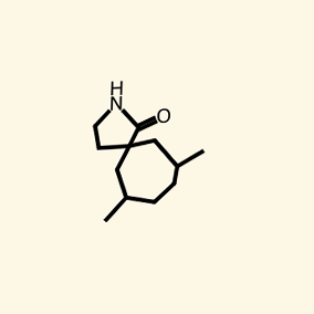 CC1CCC(C)CC2(CCNC2=O)C1